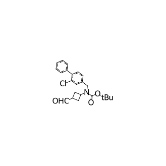 CC(C)(C)OC(=O)N(Cc1ccc(-c2ccccc2)c(Cl)c1)C1CC(C=O)C1